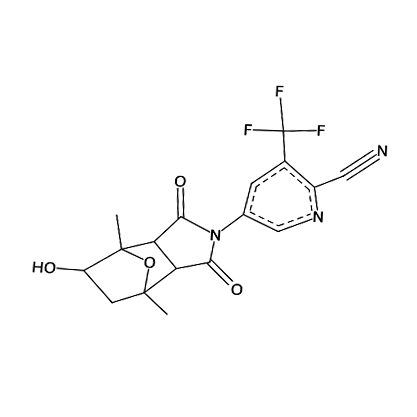 CC12CC(O)C(C)(O1)C1C(=O)N(c3cnc(C#N)c(C(F)(F)F)c3)C(=O)C12